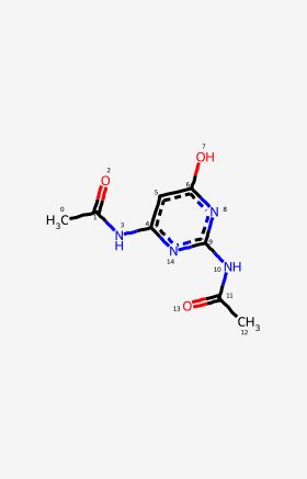 CC(=O)Nc1cc(O)nc(NC(C)=O)n1